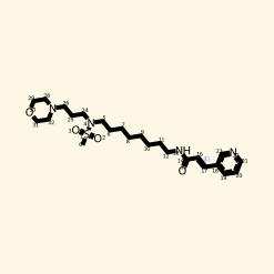 CS(=O)(=O)N(CCCCCCCCNC(=O)/C=C/c1cccnc1)CCCN1CCOCC1